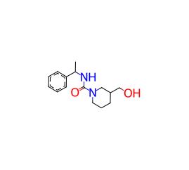 CC(NC(=O)N1CCCC(CO)C1)c1ccccc1